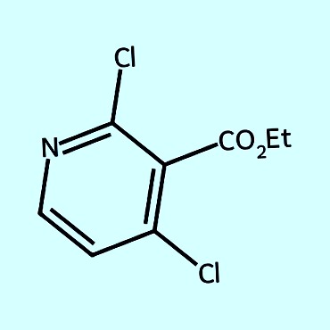 CCOC(=O)c1c(Cl)ccnc1Cl